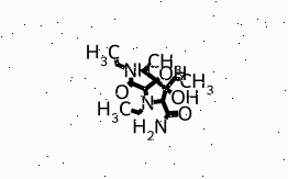 CCNC(=O)C1N(CC)C(C(N)=O)C(O)(CC)C1(O)CC